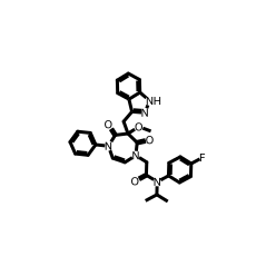 COC1(Cc2n[nH]c3ccccc23)C(=O)N(CC(=O)N(c2ccc(F)cc2)C(C)C)C=CN(c2ccccc2)C1=O